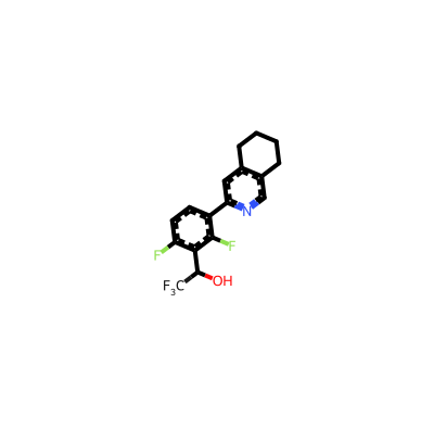 OC(c1c(F)ccc(-c2cc3c(cn2)CCCC3)c1F)C(F)(F)F